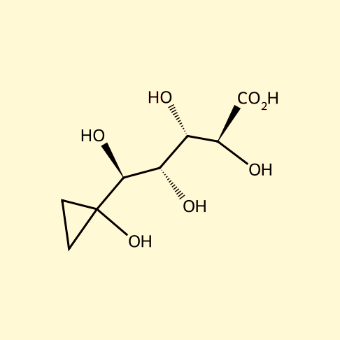 O=C(O)[C@@H](O)[C@@H](O)[C@H](O)[C@H](O)C1(O)CC1